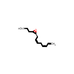 C=C/C=C\C/C=C\C[C@@H]1OC1CCCCCCCCCC